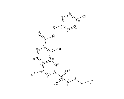 CC(C)CCNS(=O)(=O)c1cc(F)c2ncc(C(=O)NCc3ccc(Cl)cc3)c(O)c2c1